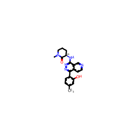 CN1CCC[C@@H](Nc2nnc(-c3ccc(C(F)(F)F)cc3O)c3ccncc23)C1=O